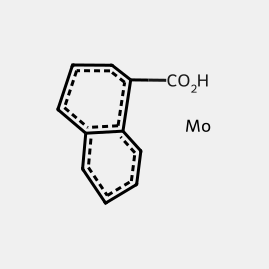 O=C(O)c1cccc2ccccc12.[Mo]